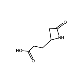 O=C(O)CCC1CC(=O)N1